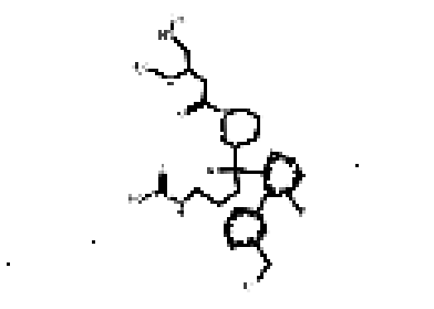 CCc1cccc(-c2c(F)cccc2C(O)(CCCNC(=O)O)C2CCCN(C(=O)CC(CNC)OC)C2)c1